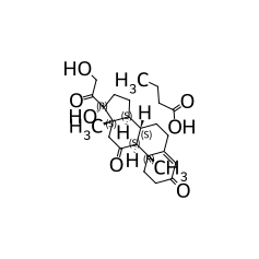 CCCC(=O)O.C[C@]12CCC(=O)C=C1CC[C@@H]1[C@@H]2C(=O)C[C@@]2(C)[C@H]1CC[C@]2(O)C(=O)CO